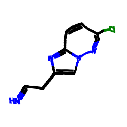 N=CCc1cn2nc(Cl)ccc2n1